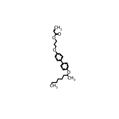 C=CC(=O)OCCCOc1ccc(-c2ccc(OC(C)CCCCCC)cc2)cc1